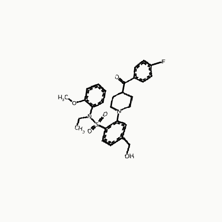 CCN(c1ccccc1OC)S(=O)(=O)c1ccc(CO)cc1N1CCC(C(=O)c2ccc(F)cc2)CC1